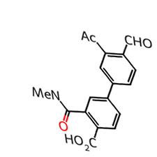 CNC(=O)c1cc(-c2ccc(C=O)c(C(C)=O)c2)ccc1C(=O)O